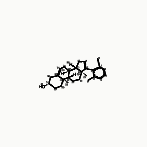 Cc1cccc(C)c1C1=CC[C@H]2[C@@H]3CC=C4C[C@@H](O)CC[C@]4(C)[C@H]3CC[C@]12C